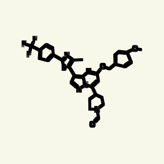 COc1ccc(COc2cc(C3CCN(C=O)CC3)n3ncc(-c4sc(-c5ccc(C(F)(F)F)cc5)nc4C)c3n2)cc1